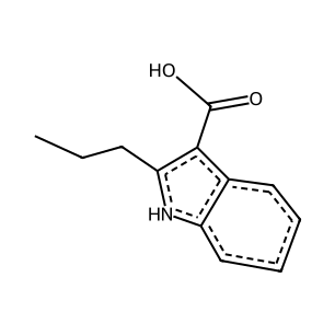 CCCc1[nH]c2ccccc2c1C(=O)O